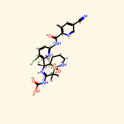 Cc1cc(C#N)cnc1C(=O)Nc1ccc(F)c([C@@]2(C)N=C(NC(=O)O)C(C)(C)[SH]3(=O)NCCC[C@H]23)n1